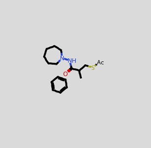 CC(=O)SCC(C)C(=O)NN1CCCCCC1.c1ccccc1